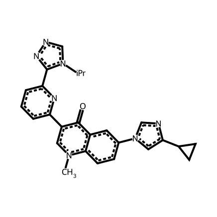 CC(C)n1cnnc1-c1cccc(-c2cn(C)c3ccc(-n4cnc(C5CC5)c4)cc3c2=O)n1